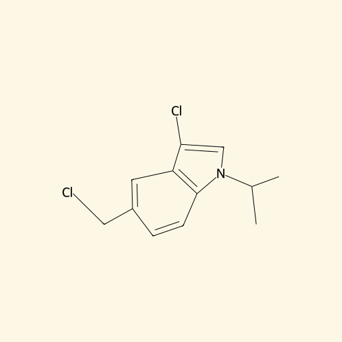 CC(C)n1cc(Cl)c2cc(CCl)ccc21